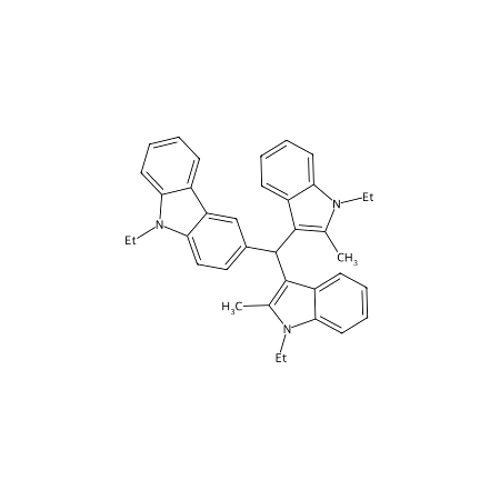 CCn1c(C)c(C(c2ccc3c(c2)c2ccccc2n3CC)c2c(C)n(CC)c3ccccc23)c2ccccc21